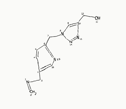 C=NCc1ccc(Cn2cc(CO)nn2)nc1